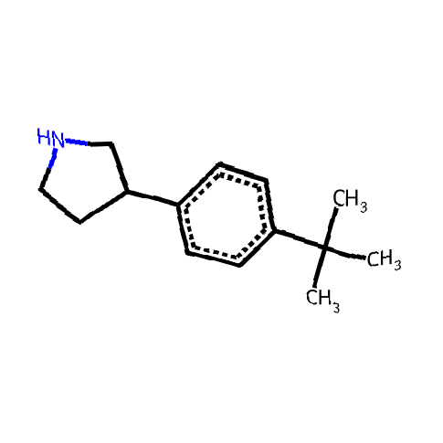 CC(C)(C)c1ccc(C2CCNC2)cc1